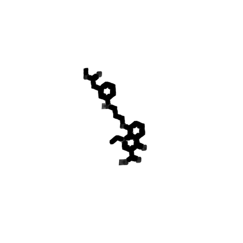 CCn1cc(C(=O)O)c(=O)c2cccc(OCCCNc3cccc(CC(=O)OC)c3)c21